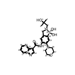 CC(C)(O)CN1Cc2cc(NC(=O)c3cnn4cccnc34)c(N3CCOCC3)cc2S1(O)O